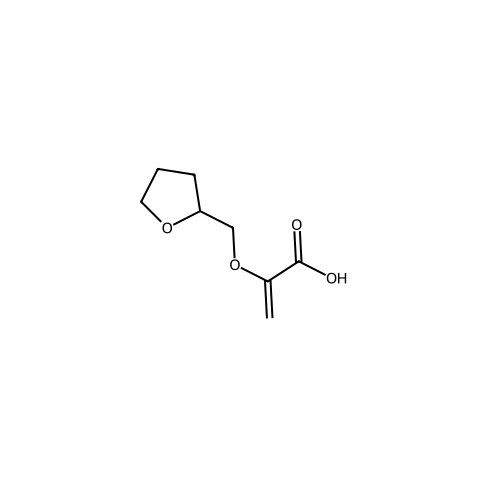 C=C(OCC1CCCO1)C(=O)O